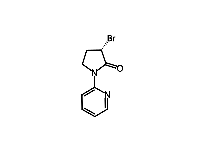 O=C1[C@@H](Br)CCN1c1ccccn1